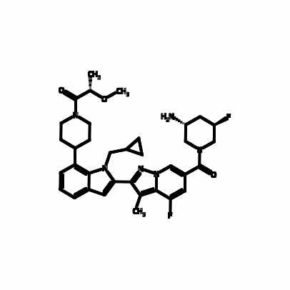 CO[C@@H](C)C(=O)N1CCC(c2cccc3cc(-c4nn5cc(C(=O)N6C[C@H](N)C[C@@H](F)C6)cc(F)c5c4C)n(CC4CC4)c23)CC1